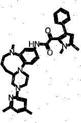 Cc1cc(C)nc(N2CCN3c4ccc(NC(=O)C(=O)c5c(-c6ccccc6)cc(C)n5C)cc4N(C)CCCC3C2)c1